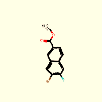 COC(=O)c1ccc2cc(F)c(Br)cc2c1